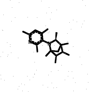 Cc1cc(C)c(N2[C@@H](C)C3(C)CC2(C)C(C)C3C)c(C)n1